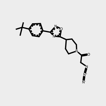 CC(C)(C)c1ccc(-c2noc(C3CCN(C(=O)CN=[N+]=[N-])CC3)n2)cc1